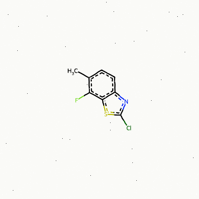 Cc1ccc2nc(Cl)sc2c1F